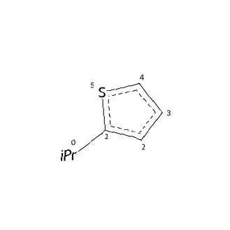 [CH2]C(C)c1cccs1